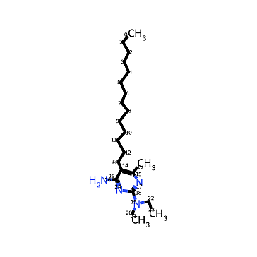 CCCCCCCCCCCCCCc1c(C)nc(N(CC)CC)nc1N